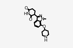 Cn1nc(C2CCC(=O)NC2=O)c2cccc(OC3CCNCC3)c21